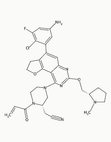 C=CC(=O)N1CCN(c2nc(OC[C@@H]3CCCN3C)nc3cc(-c4cc(N)cc(F)c4Cl)c4c(c23)OCC4)C[C@@H]1CC#N